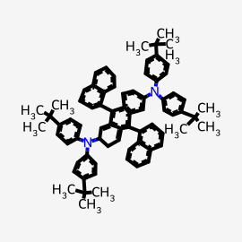 CC(C)(C)c1ccc(N(c2ccc(C(C)(C)C)cc2)c2ccc3c(-c4cccc5ccccc45)c4c(c(-c5cccc6ccccc56)c3c2)=CCC(N(c2ccc(C(C)(C)C)cc2)c2ccc(C(C)(C)C)cc2)C=4)cc1